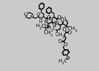 COc1ccc(COC(=O)CCC(=O)OC(C)(CI)C(=O)C(CC(C)C)NC(=O)C(Cc2ccccc2)NC(=O)C(CC(C)C)NC(=O)C(CCc2ccccc2)NC(=O)CN2CCOCC2)cc1